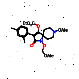 CCOC(=O)OC1=C(c2ccc(C)cc2C)C(=O)N(OCOC)C12CCN(OC)CC2